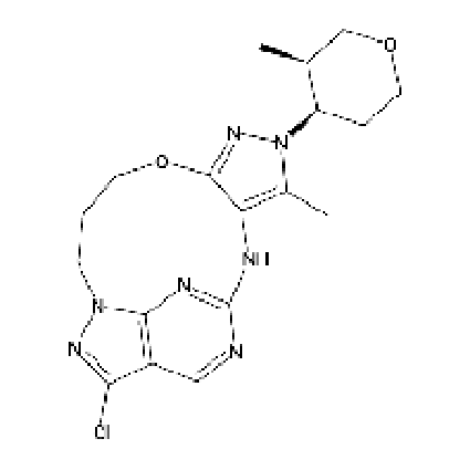 Cc1c2c(nn1[C@@H]1CCOC[C@@H]1C)OCCCn1nc(Cl)c3cnc(nc31)N2